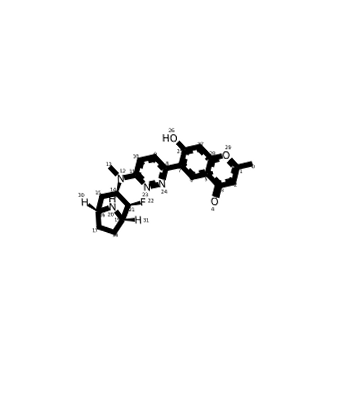 Cc1cc(=O)c2cc(-c3ccc(N(C)[C@@H]4C[C@H]5CC[C@H](N5)[C@@H]4F)nn3)c(O)cc2o1